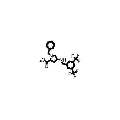 COC(=O)C1CC(NCc2cc(C(F)(F)F)cc(C(F)(F)F)c2)CN1Cc1ccccc1